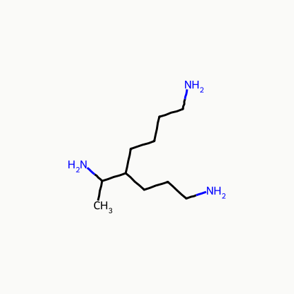 CC(N)C(CCCN)CCCCN